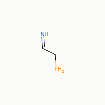 N=CCP